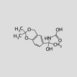 CC1(C)OCc2cc(C(C)(O)NC(=O)O)ccc2O1